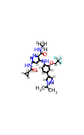 [2H]C([2H])([2H])NC(=O)c1nnc(NC(=O)C2CC2)cc1Nc1ccc(-c2cnn(C(C)C)c2)cc1OCC(F)(F)F